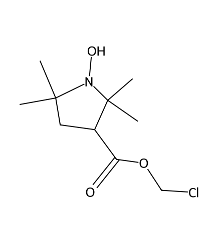 CC1(C)CC(C(=O)OCCl)C(C)(C)N1O